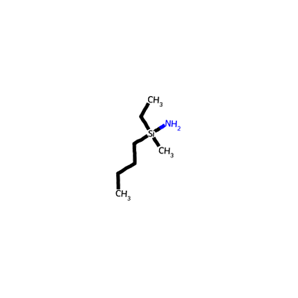 CCCC[Si](C)(N)CC